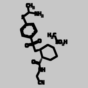 CC(N)Sc1ccc(S(=O)(=O)C[C@H]2CCCC[C@@H]2C(=O)NCC#N)cc1.CS(=O)(=O)O